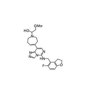 COCC(O)N1CCC=C(c2cnc(NCc3c(F)ccc4c3CCO4)n3cnnc23)CC1